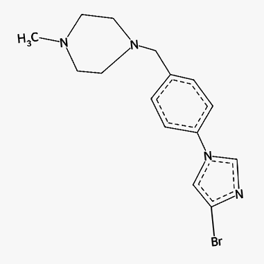 CN1CCN(Cc2ccc(-n3cnc(Br)c3)cc2)CC1